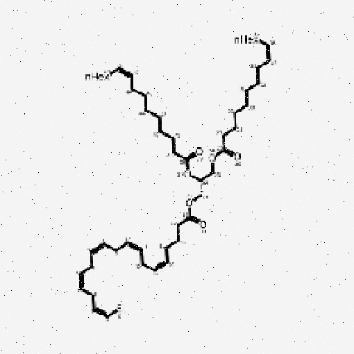 CC/C=C\C/C=C\C/C=C\C/C=C\C/C=C\CCCC(=O)OC[C@@H](COC(=O)CCCCCCC/C=C\CCCCCC)OC(=O)CCCCCCC/C=C\CCCCCC